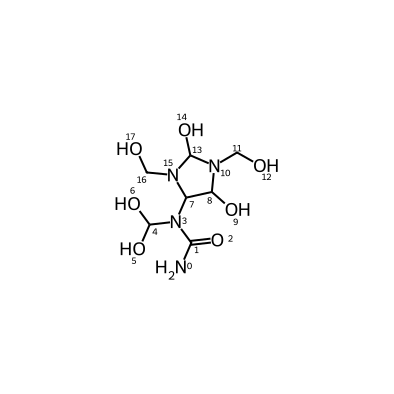 NC(=O)N(C(O)O)C1C(O)N(CO)C(O)N1CO